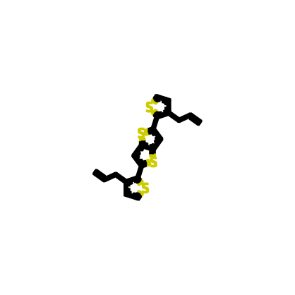 C=CCc1ccsc1-c1cc2sc(-c3sccc3CC=C)cc2s1